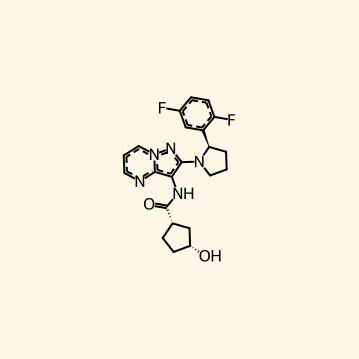 O=C(Nc1c(N2CCC[C@@H]2c2cc(F)ccc2F)nn2cccnc12)[C@H]1CC[C@@H](O)C1